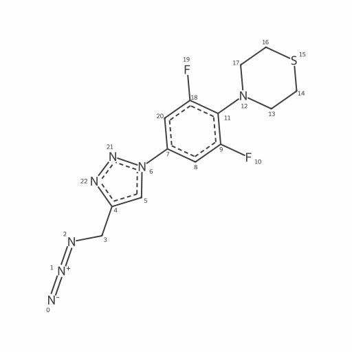 [N-]=[N+]=NCc1cn(-c2cc(F)c(N3CCSCC3)c(F)c2)nn1